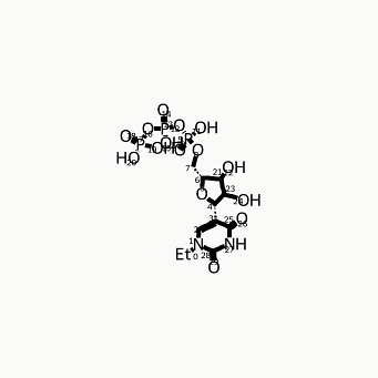 CCn1cc([C@@H]2O[C@H](COP(=O)(O)OP(=O)(O)OP(=O)(O)O)C(O)C2O)c(=O)[nH]c1=O